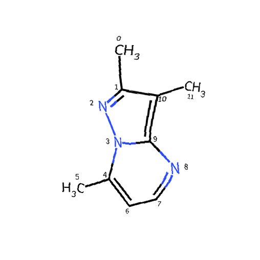 Cc1nn2c(C)ccnc2c1C